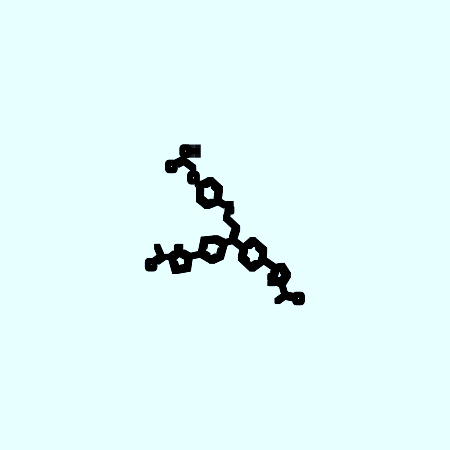 CC(=O)c1ccc(-c2ccc(C(=CCSc3ccc(OCC(=O)O)cc3)c3ccc(-c4ccc(C(C)=O)s4)cc3)cc2)s1